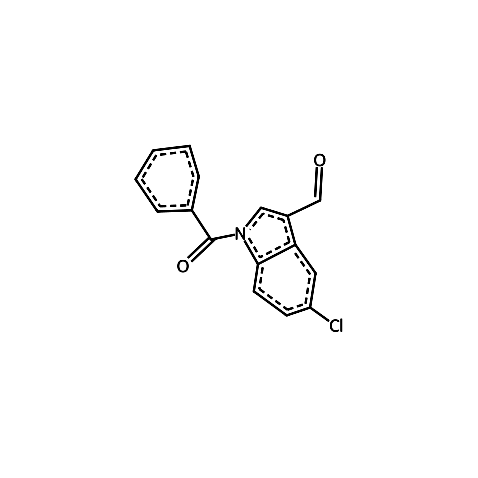 O=Cc1cn(C(=O)c2ccccc2)c2ccc(Cl)cc12